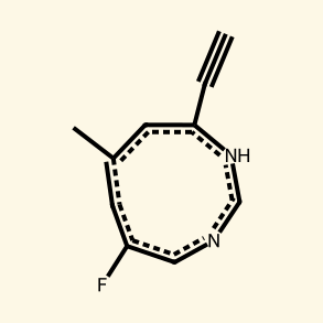 C#Cc1cc(C)cc(F)cnc[nH]1